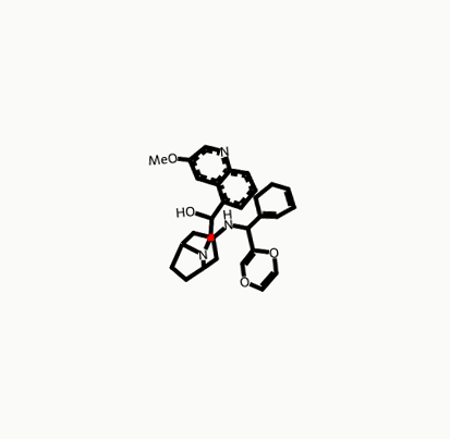 COc1cnc2cccc(C(O)CN3C4CCC3CC(NC(C3=CC=CCC3)C3=COC=CO3)C4)c2c1